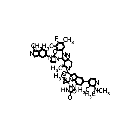 Cc1cc(-n2nc3c(c2-n2ccn(-c4ccc5c(cnn5C)c4)c2=O)[C@H](C)N(C(=O)c2cc4cc(-c5ccnc(N(C)C)c5C)ccc4n2[C@@]2(c4noc(=O)[nH]4)C[C@@H]2C)CC3)cc(C)c1F